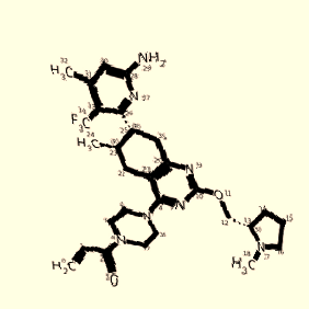 C=CC(=O)N1CCN(c2nc(OC[C@@H]3CCCN3C)nc3c2C[C@@H](C)[C@H](c2nc(N)cc(C)c2C(F)(F)F)C3)CC1